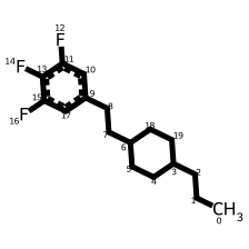 CCCC1CCC(CCc2cc(F)c(F)c(F)c2)CC1